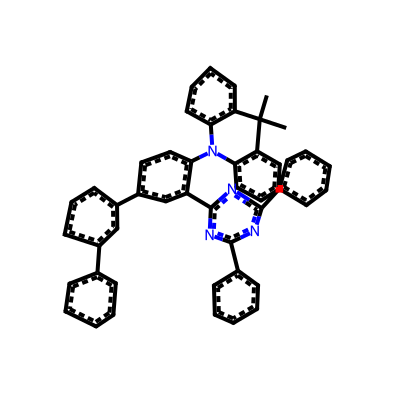 CC1(C)c2ccccc2N(c2ccc(-c3cccc(-c4ccccc4)c3)cc2-c2nc(-c3ccccc3)nc(-c3ccccc3)n2)c2ccccc21